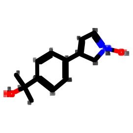 CC(C)(O)c1ccc(C2=CC=[N+]([O-])C2)cc1